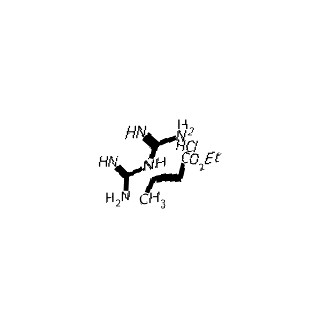 C/C=C/C(=O)OCC.Cl.N=C(N)NC(=N)N